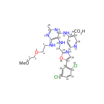 COCCOCCNc1nc(C)nc(Nc2ccncc2C(=O)O)c1NCc1ncc(-c2cc(Cl)ccc2Cl)o1